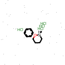 C[SiH]1CCCCO1.Cl.Cl.Cl.Cl.c1ccccc1